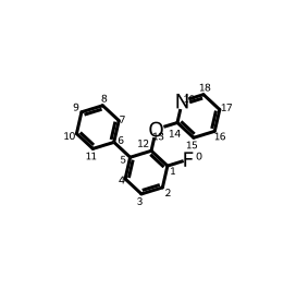 Fc1cccc(-c2ccccc2)c1Oc1ccccn1